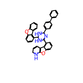 C1=Cc2c(oc3cccc(C4=NC(c5ccc(-c6ccccc6)cc5)NC(c5cccc6oc7ccccc7c56)N4)c23)NC1